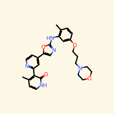 Cc1ccc(OCCCN2CCOCC2)cc1Nc1ncc(-c2ccnc(-c3c(C)cc[nH]c3=O)c2)o1